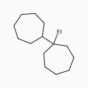 CCC1(C2CCCCCC2)CCCCCC1